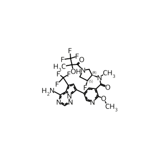 COc1ncc(-c2cc(C(F)(F)F)c3c(N)ncnn23)cc1C(=O)N(C)[C@@H]1CN(C(=O)C(C)(O)C(F)(F)F)C[C@@H]1F